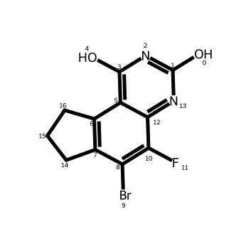 Oc1nc(O)c2c3c(c(Br)c(F)c2n1)CCC3